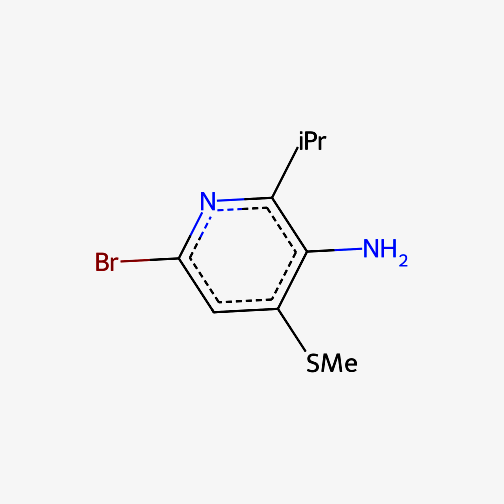 CSc1cc(Br)nc(C(C)C)c1N